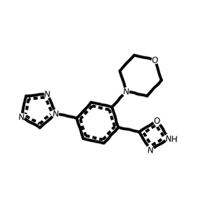 c1ncn(-c2ccc(-c3n[nH]o3)c(N3CCOCC3)c2)n1